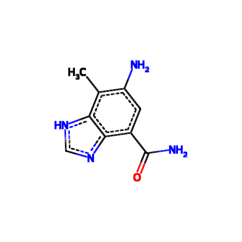 Cc1c(N)cc(C(N)=O)c2nc[nH]c12